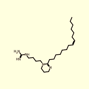 CCCCCC/C=C\CCCCCCCC1=NCCCN1CCCCNC(=N)N